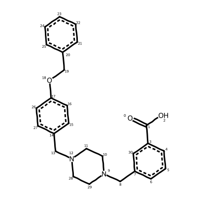 O=C(O)c1cccc(CN2CCN(Cc3ccc(OCc4ccccc4)cc3)CC2)c1